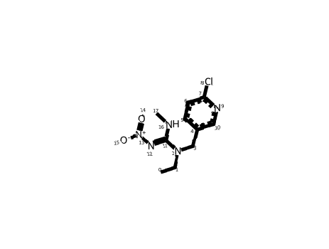 CCN(Cc1ccc(Cl)nc1)/C(=N/[N+](=O)[O-])NC